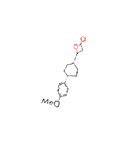 COc1ccc(C2CCC(C3CC(=O)O3)CC2)cc1